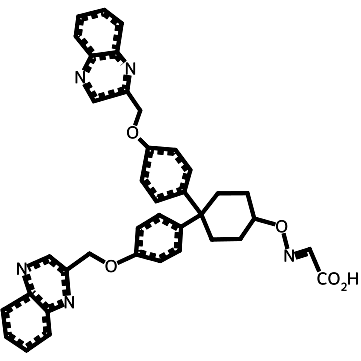 O=C(O)C=NOC1CCC(c2ccc(OCc3cnc4ccccc4n3)cc2)(c2ccc(OCc3cnc4ccccc4n3)cc2)CC1